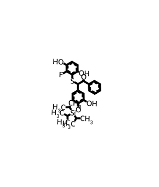 CC(C)[Si](Oc1ccc(C(Sc2c(O)ccc(O)c2F)C(=O)c2ccccc2)cc1O)(C(C)C)C(C)C